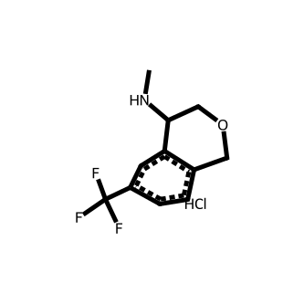 CNC1COCc2ccc(C(F)(F)F)cc21.Cl